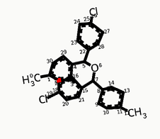 Cc1ccc(C(OC(c2ccc(C)cc2)c2ccc(Cl)cc2)c2ccc(Cl)cc2)cc1